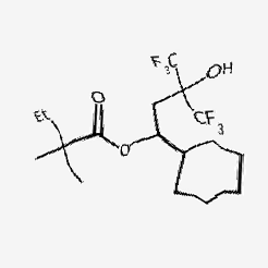 CCC(C)(C)C(=O)OC(CC(O)(C(F)(F)F)C(F)(F)F)C1CCCCC1